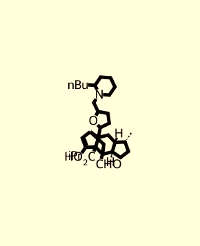 CCCCC1CCCCN1CC1CCC(C23C[C@@H]4[C@H](C)CC[C@H]4C4(C=O)CC2C=C(C(C)C)C34C(=O)O)O1